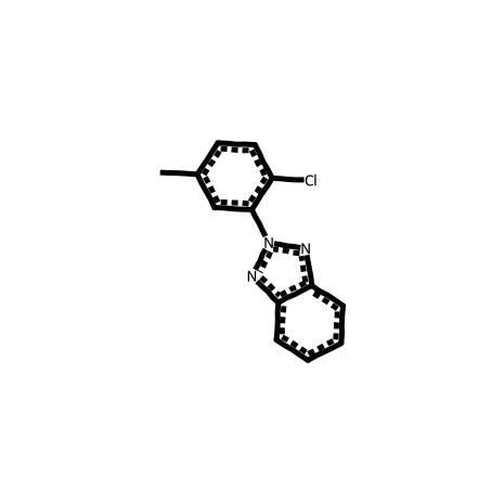 Cc1ccc(Cl)c(-n2nc3ccccc3n2)c1